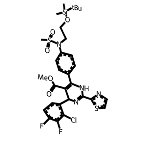 COC(=O)C1=C(c2ccc(N(CCO[Si](C)(C)C(C)(C)C)S(C)(=O)=O)cc2)NC(c2nccs2)=NC1c1ccc(F)c(F)c1Cl